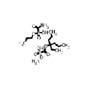 CCCC(CC)(CCC)OC(=O)P(=O)(O)ON.CCCOP(=O)(O)C(N)=O